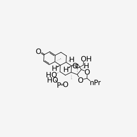 CCCC1O[C@@H]2C[C@H]3[C@@H]4CCC5=CC(=O)C=C[C@]5(C)[C@H]4[C@@H](O)C[C@]3(C)[C@]2(C(=O)CO)O1.O=PO